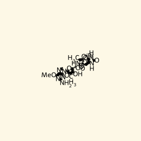 COc1nc(N)nc2c1ncn2[C@@H]1O[C@H](CO[P@@](=O)(N[C@H](C)C(=O)OC(C)C)SCC2NC(=O)NC2=O)[C@@H](O)[C@@]1(C)O